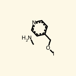 CN.IOCc1ccncc1